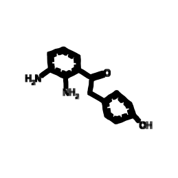 Nc1cccc(C(=O)Cc2ccc(O)cc2)c1N